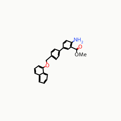 COC(=O)c1cc(-c2ccc(COc3cccc4ccccc34)cc2)ccc1N